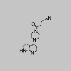 N#CCCC(=O)N1CCN(c2ccnc3[nH]ccc23)CC1